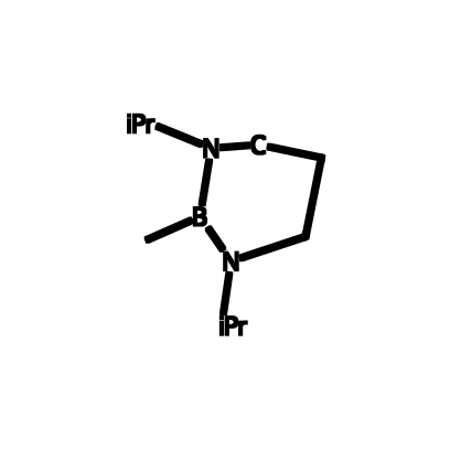 CB1N(C(C)C)CCCN1C(C)C